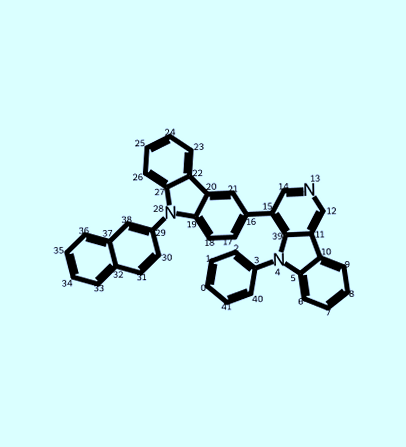 c1ccc(-n2c3ccccc3c3cncc(-c4ccc5c(c4)c4ccccc4n5-c4ccc5ccccc5c4)c32)cc1